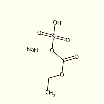 CCOC(=O)OS(=O)(=O)O.[NaH]